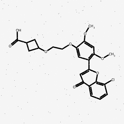 COc1cc(OC)c(-c2cc(=O)c3cccc(Cl)c3o2)cc1OCCOC1CC(C(=O)O)C1